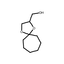 OCC1COC2(CCCCCC2)O1